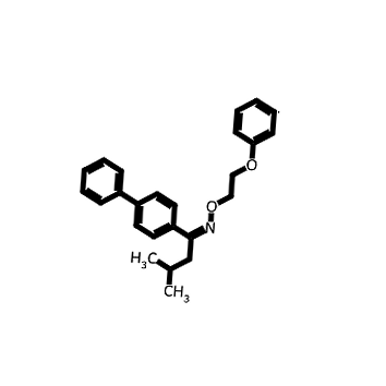 CC(C)CC(=NOCCOc1c[c]ccc1)c1ccc(-c2ccccc2)cc1